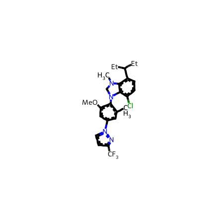 CCC(CC)c1ccc(Cl)c2c1N(C)CN2c1c(C)cc(-n2ccc(C(F)(F)F)n2)cc1OC